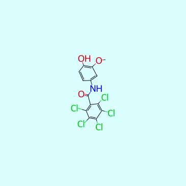 COc1cc(NC(=O)c2c(Cl)c(Cl)c(Cl)c(Cl)c2Cl)ccc1O